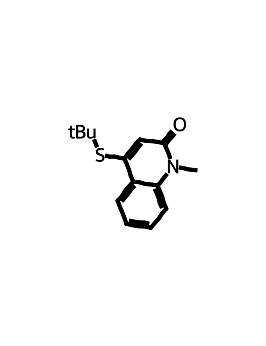 Cn1c(=O)cc(SC(C)(C)C)c2ccccc21